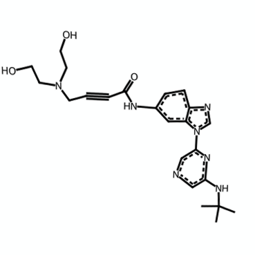 CC(C)(C)Nc1cncc(-n2cnc3ccc(NC(=O)C#CCN(CCO)CCO)cc32)n1